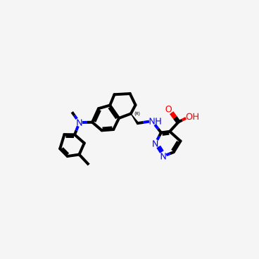 CC1C=CC=C(N(C)c2ccc3c(c2)CCC[C@H]3CNc2nnccc2C(=O)O)C1